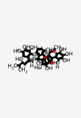 CCCC1=C(c2c(C)cccc2C(C)(NN/C(=C/CC(C)C)c2c(O)c(O)c(O)c(O)c2O)c2c(O)cc(O)c(O)c2O)CCC=C1c1c(O)c(O)c(O)c(O)c1O